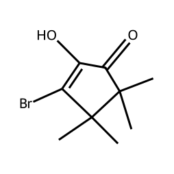 CC1(C)C(=O)C(O)=C(Br)C1(C)C